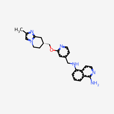 Cc1cn2c(n1)C[C@H](COc1cc(CNc3cccc4c(N)nccc34)ccn1)CC2